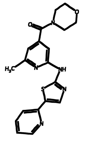 Cc1cc(C(=O)N2CCOCC2)cc(Nc2ncc(-c3ccccn3)s2)n1